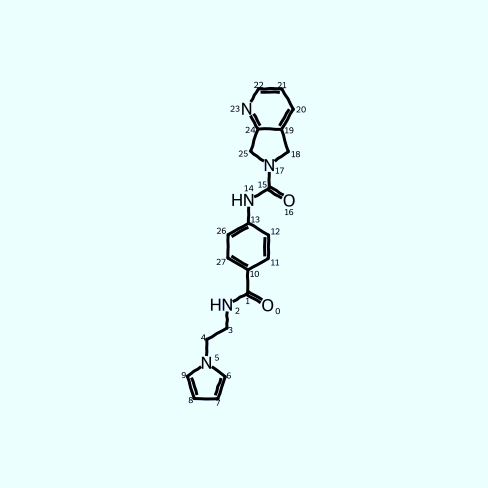 O=C(NCCn1cccc1)c1ccc(NC(=O)N2Cc3cccnc3C2)cc1